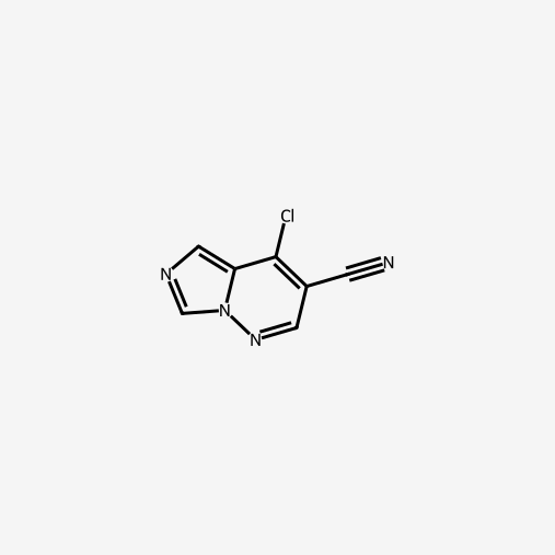 N#Cc1cnn2cncc2c1Cl